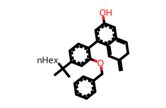 C=C1C=c2c(-c3ccc(C(C)(C)CCCCCC)cc3OCc3ccccc3)cc(O)cc2=CC1